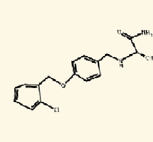 C[C@@H](NCc1ccc(OCc2ccccc2Cl)cc1)C(N)=O